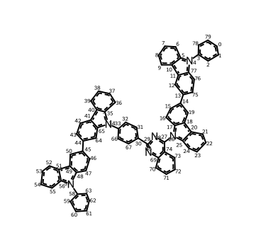 c1ccc(-n2c3ccccc3c3cc(-c4ccc5c(c4)c4ccccc4n5-c4nc(-c5ccc(-n6c7ccccc7c7ccc(-c8ccc9c(c8)c8ccccc8n9-c8ccccc8)cc76)cc5)nc5ccccc45)ccc32)cc1